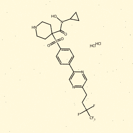 Cl.Cl.O=C(N(O)C1CC1)C1(S(=O)(=O)c2ccc(-c3cnc(CCC(F)(F)C(F)(F)F)cn3)cc2)CCNCC1